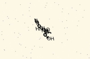 C=CCn1c(=O)c2cnc(Nc3ccc(N4CCN(C)CC4)cc3)nc2n1-c1cccc(C(C)(C)O)c1